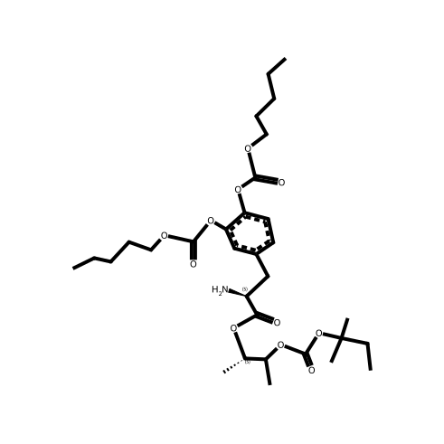 CCCCCOC(=O)Oc1ccc(C[C@H](N)C(=O)O[C@@H](C)C(C)OC(=O)OC(C)(C)CC)cc1OC(=O)OCCCCC